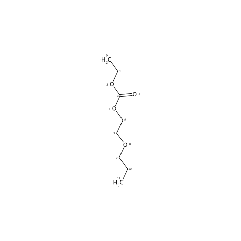 [CH2]COC(=O)OCCOCCC